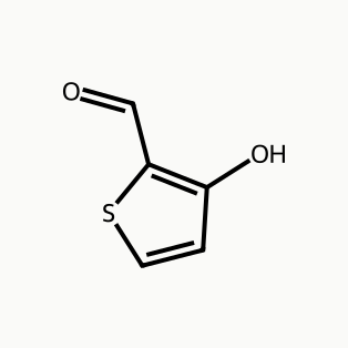 O=Cc1sccc1O